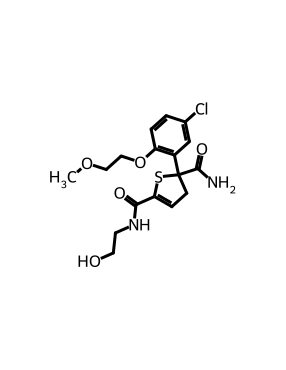 COCCOc1ccc(Cl)cc1C1(C(N)=O)CC=C(C(=O)NCCO)S1